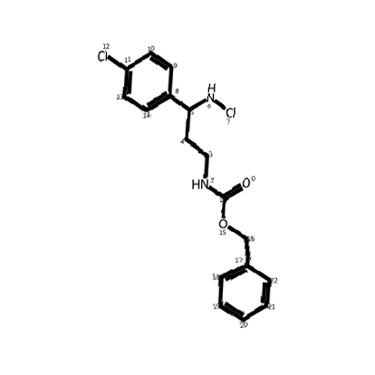 O=C(NCCC(NCl)c1ccc(Cl)cc1)OCc1ccccc1